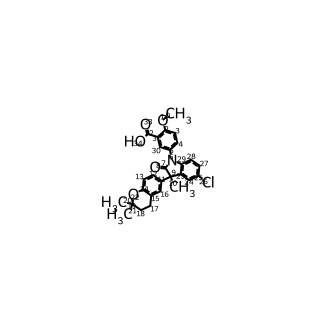 COc1ccc(N2C(=O)C(C)(c3ccc4c(c3)CCC(C)(C)O4)c3cc(Cl)ccc32)cc1C(=O)O